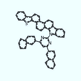 c1ccc2cc(-c3cc(-c4ccc5ccccc5c4)nc(-n4c5ccccc5c5ccc6c7ccc8c9ccccc9sc8c7ccc6c54)n3)ccc2c1